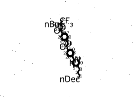 CCCCCCCCCCCCCc1cnc(-c2ccc(C(=O)Oc3ccc(C(=O)O[C@@H](CCCC)C(F)(F)F)cc3)cc2)nc1